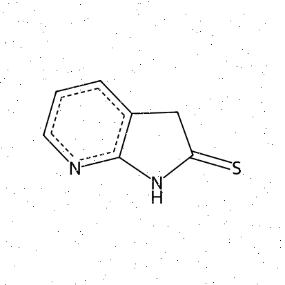 S=C1Cc2cccnc2N1